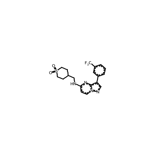 O=S1(=O)CCC(CNc2ccn3ncc(-c4cccc(C(F)(F)F)c4)c3n2)CC1